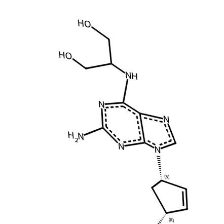 Nc1nc(NC(CO)CO)c2ncn([C@@H]3C=C[C@H](CO)C3)c2n1